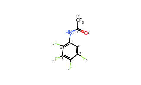 O=C(Nc1cc(F)c(F)c(F)c1F)C(F)(F)F